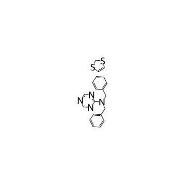 C1=CSCS1.c1ccc(CN(Cc2ccccc2)c2ncncn2)cc1